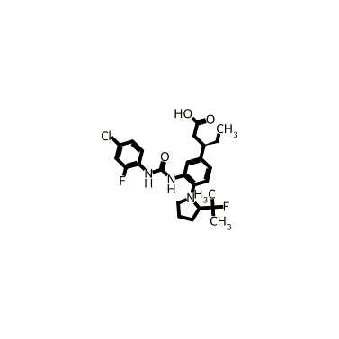 CC[C@H](CC(=O)O)c1ccc(N2CCCC2C(C)(C)F)c(NC(=O)Nc2ccc(Cl)cc2F)c1